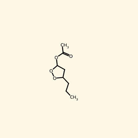 CCCC1CC(OC(C)=O)OO1